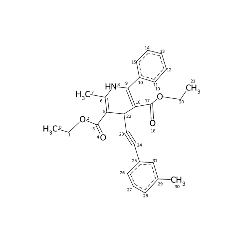 CCOC(=O)C1=C(C)NC(c2ccccc2)=C(C(=O)OCC)C1C#Cc1cccc(C)c1